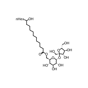 CCCCCCC(O)CCCCCCCCCCC(=O)OC[C@H]1O[C@H](O[C@]2(CO)O[C@H](CO)[C@@H](O)[C@@H]2O)[C@H](O)[C@@H](O)[C@@H]1O